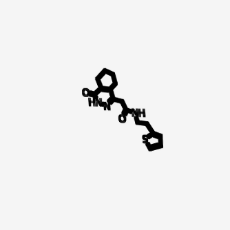 O=C(Cc1n[nH]c(=O)c2c1CCCC2)NCCc1cccs1